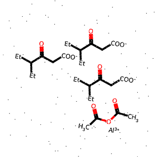 CC(=O)OC(C)=O.CCC(CC)C(=O)CC(=O)[O-].CCC(CC)C(=O)CC(=O)[O-].CCC(CC)C(=O)CC(=O)[O-].[Al+3]